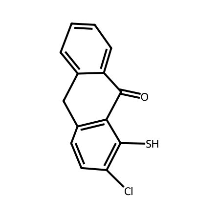 O=C1c2ccccc2Cc2ccc(Cl)c(S)c21